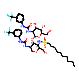 CCCCCCCCCCS(=O)(=O)N[C@H]1C(CO)OCC(NC(=O)Nc2cccc(C(F)(F)F)c2)[C@H]1O[C@@H]1OC(CO)[C@@H](O)[C@H](O)C1NC(=O)Nc1cccc(C(F)(F)F)c1